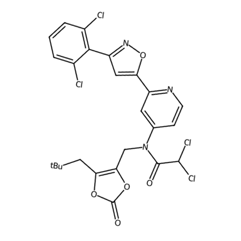 CC(C)(C)Cc1oc(=O)oc1CN(C(=O)C(Cl)Cl)c1ccnc(-c2cc(-c3c(Cl)cccc3Cl)no2)c1